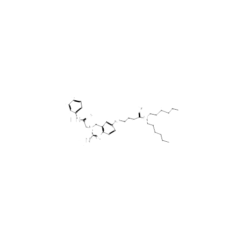 CCCCCCN(CCCCCC)C(=O)CCCOc1ccc2c(c1)CN(CC(=O)Nc1ccccc1)C(N)=N2